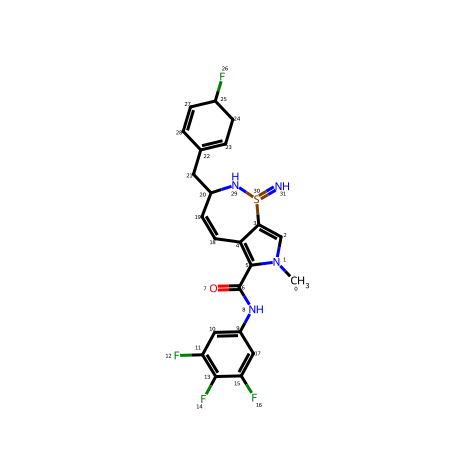 Cn1cc2c(c1C(=O)Nc1cc(F)c(F)c(F)c1)C=CC(CC1=CCC(F)C=C1)NS2=N